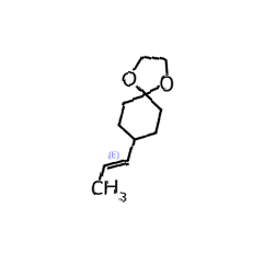 C/C=C/C1CCC2(CC1)OCCO2